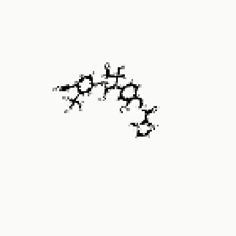 Cn1ccnc1C(=O)NCc1ccc(N2C(=S)N(c3ccc(C#N)c(C(F)(F)F)c3)C(=O)C2(C)C)cc1Cl